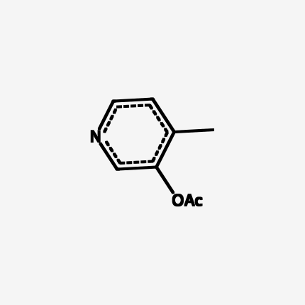 CC(=O)Oc1cnccc1C